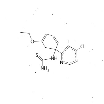 CCOC1=CC=CC(NC(N)=S)(c2nccc(Cl)c2I)C1